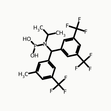 Cc1cc(C(c2cc(C(F)(F)F)cc(C(F)(F)F)c2)N(C(C)C)P(O)O)cc(C(F)(F)F)c1